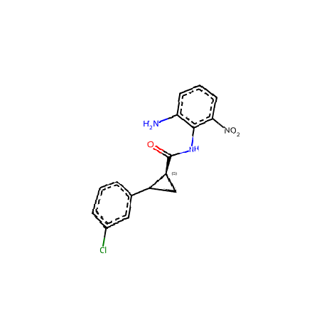 Nc1cccc([N+](=O)[O-])c1NC(=O)[C@H]1CC1c1cccc(Cl)c1